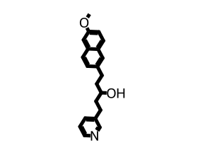 COc1ccc2cc(CCC(O)CCc3cccnc3)ccc2c1